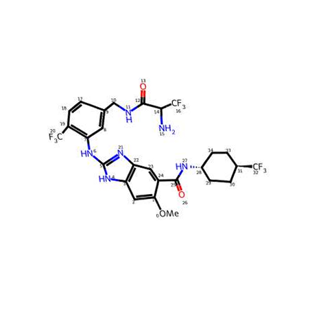 COc1cc2[nH]c(Nc3cc(CNC(=O)C(N)C(F)(F)F)ccc3C(F)(F)F)nc2cc1C(=O)N[C@H]1CC[C@H](C(F)(F)F)CC1